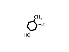 CC[C@H]1C[C@H](O)CCC1C